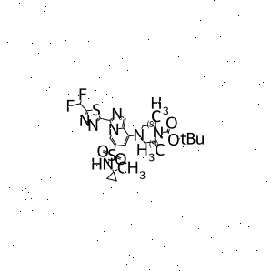 C[C@H]1CN(c2cc(S(=O)(=O)NC3(C)CC3)cn3c(-c4nnc(C(F)F)s4)ncc23)C[C@H](C)N1C(=O)OC(C)(C)C